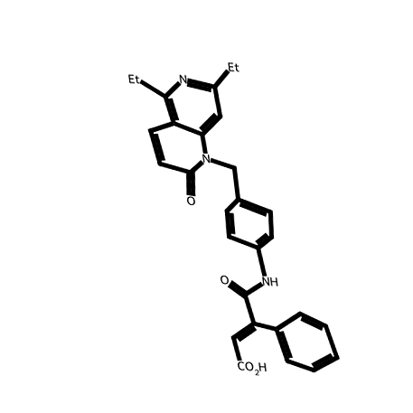 CCc1cc2c(ccc(=O)n2Cc2ccc(NC(=O)C(=CC(=O)O)c3ccccc3)cc2)c(CC)n1